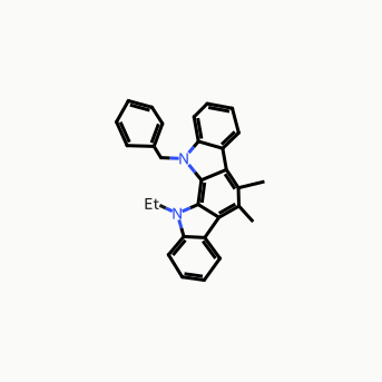 CCn1c2ccccc2c2c(C)c(C)c3c4ccccc4n(Cc4ccccc4)c3c21